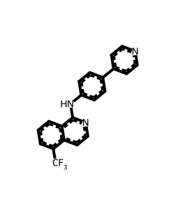 FC(F)(F)c1cccc2c(Nc3ccc(-c4ccncc4)cc3)nccc12